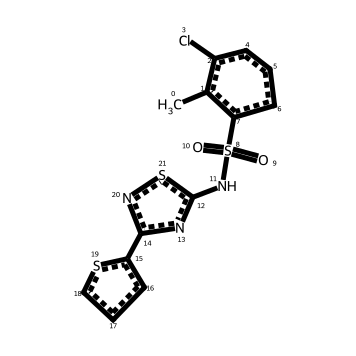 Cc1c(Cl)cccc1S(=O)(=O)Nc1nc(-c2cccs2)ns1